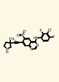 CC1(C#Cc2cc3ncnc(Nc4ccc(F)c(Cl)c4F)c3cc2[N+](=O)[O-])CCNC1